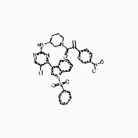 O=C(Nc1ccc([N+](=O)[O-])cc1)N1CCCC(Nc2ncc(Cl)c(-c3cn(S(=O)(=O)c4ccccc4)c4ccccc34)n2)C1